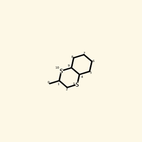 CC1CSC2CCCCC2S1